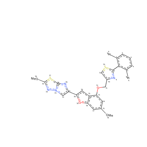 [3H]c1cccc([3H])c1-c1nc(COc2cc(OC)cc3oc(-c4cn5nc(OC)sc5n4)cc23)cs1